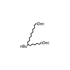 [CH2]CCCC(CCCCCCCCCCCCCCC)CCCCCCCCCCCCCCCCCCC